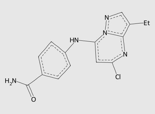 CCc1cnn2c(Nc3ccc(C(N)=O)cc3)cc(Cl)nc12